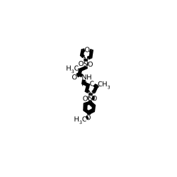 COc1ccc(S(=O)(=O)N(CCCNC(=O)[C@H](C)CS(=O)(=O)N2CCOCC2)CC(C)C)cc1